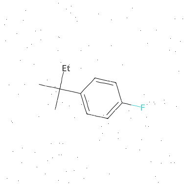 CCC(C)(C)c1ccc(F)cc1